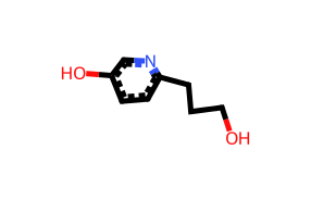 OCCCc1ccc(O)cn1